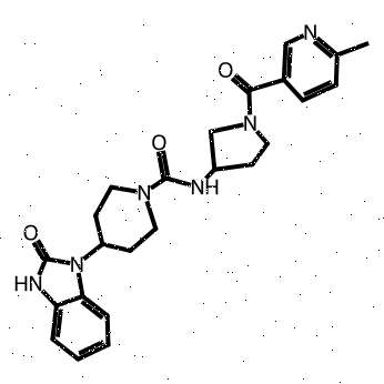 Cc1ccc(C(=O)N2CCC(NC(=O)N3CCC(n4c(=O)[nH]c5ccccc54)CC3)C2)cn1